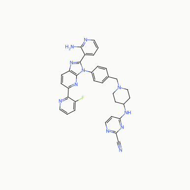 N#Cc1nccc(NC2CCN(Cc3ccc(-n4c(-c5cccnc5N)nc5ccc(-c6ncccc6F)nc54)cc3)CC2)n1